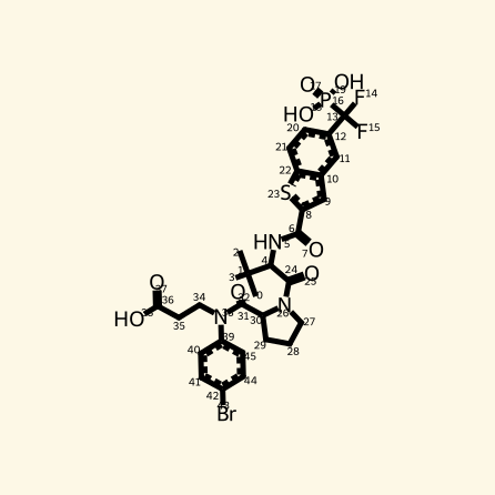 CC(C)(C)C(NC(=O)c1cc2cc(C(F)(F)P(=O)(O)O)ccc2s1)C(=O)N1CCCC1C(=O)N(CCC(=O)O)c1ccc(Br)cc1